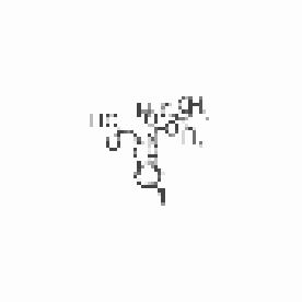 CC(C)(C)OC(=O)N[C@H](CC(=O)O)Cc1ccc(I)cc1